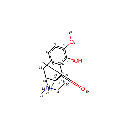 COc1ccc2c(c1O)[C@]13CCN(C)C(C2)[C@@H]1CCC(=O)C3